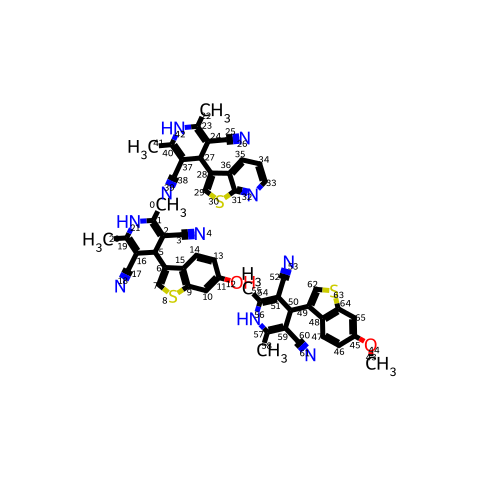 CC1=C(C#N)C(c2csc3cc(O)ccc23)C(C#N)=C(C)N1.CC1=C(C#N)C(c2csc3ncccc23)C(C#N)=C(C)N1.COc1ccc2c(C3C(C#N)=C(C)NC(C)=C3C#N)csc2c1